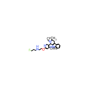 COc1cc(OCCNCCCF)ncc1C1c2[nH]c3ccccc3c2CC(C)N1CC(F)(F)F